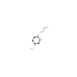 COc1ccc(OCCBr)cc1